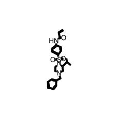 C=CC(=O)Nc1ccc(S(=O)(=O)N2CCN(Cc3ccccc3)CC2C(C)C)cc1